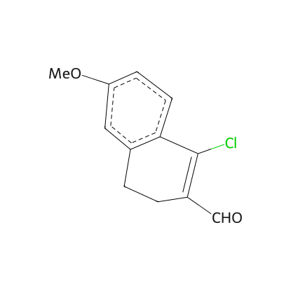 COc1ccc2c(c1)CCC(C=O)=C2Cl